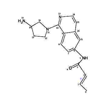 C/C=C/C(=O)Nc1ccc2c(N3CCC(N)C3)nccc2c1